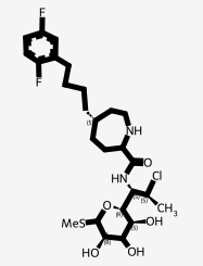 CSC1O[C@H]([C@H](NC(=O)C2CC[C@H](CCCCc3cc(F)ccc3F)CCN2)[C@H](C)Cl)[C@@H](O)C(O)[C@H]1O